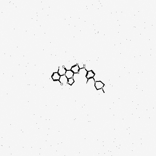 CN1CCN(c2ccc(Nc3ncc4c(n3)N3CCN=C3N(c3c(F)cccc3Cl)C4=O)cc2F)CC1